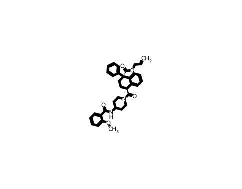 C=CCOC(=O)[C@@]1(c2ccccc2)CC[C@H](C(=O)N2CCC(NC(=O)c3ccccc3OC)CC2)c2ccccc21